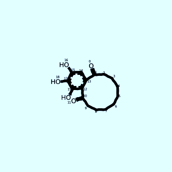 O=C1CCCCCCCCC(=O)c2c1cc(O)c(O)c2O